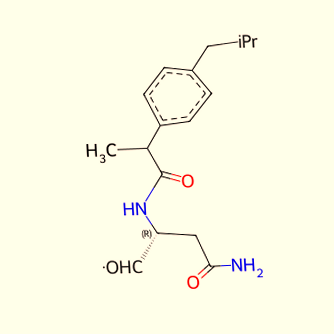 CC(C)Cc1ccc(C(C)C(=O)N[C@@H]([C]=O)CC(N)=O)cc1